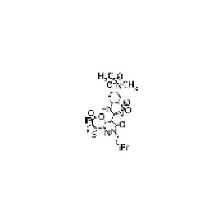 CC(C)CCn1nc(-c2cccs2)c(OC(=O)C(C)C)c(C2=NS(=O)(=O)c3cc(N(C)S(C)(=O)=O)ccc3N2)c1=O